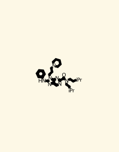 CC(C)CCN(CCC(C)C)C(=O)c1ncc2nc(Nc3ccccc3)n(CCCN3CCCCC3)c2n1